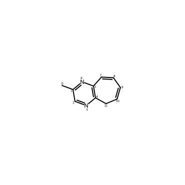 Cc1cnc2c(n1)C=CC=CC2